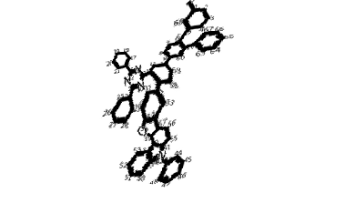 CC1C=CCC(c2ccc(C3=CC(c4nc(C5=CCCC=C5)nc(C5C=CC=CC5)n4)=C(C4=CC5C(C=C4)OC4c6c(n(-c7ccccc7)c7ccccc67)C=CC45)CC3)cc2-c2ccccc2)C1